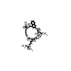 CC(=O)CC1NC(=O)CNC(=O)C(CCCCN=C(N)N)NC(=O)CCSSCC(C(N)=O)NC(=O)c2cc(cc3ccccc23)NC1=O